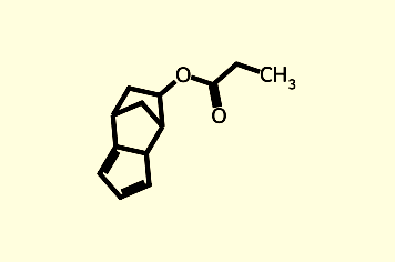 CCC(=O)OC1CC2CC1C1C=CC=C21